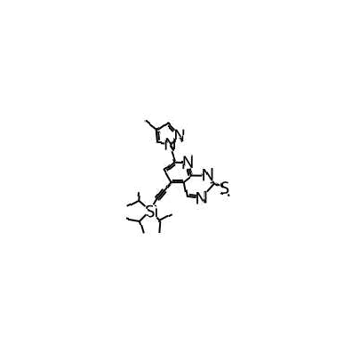 CSc1ncc2c(C#C[Si](C(C)C)(C(C)C)C(C)C)cc(-n3cc(C)cn3)nc2n1